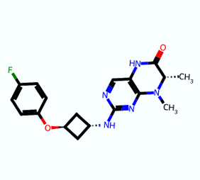 C[C@H]1C(=O)Nc2cnc(N[C@H]3C[C@H](Oc4ccc(F)cc4)C3)nc2N1C